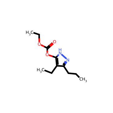 CCCc1n[nH]c(OC(=O)OCC)c1CC